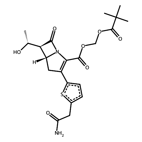 C[C@@H](O)[C@H]1C(=O)N2C(C(=O)OCOC(=O)C(C)(C)C)=C(c3ccc(CC(N)=O)s3)C[C@H]12